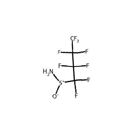 N[S+]([O-])C(F)(F)C(F)(F)C(F)(F)C(F)(F)F